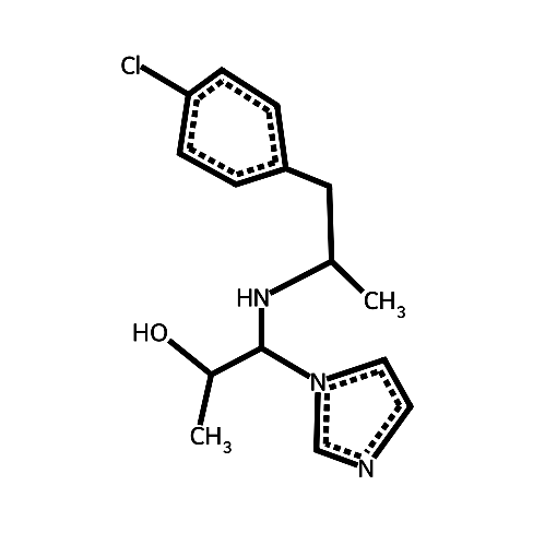 CC(Cc1ccc(Cl)cc1)NC(C(C)O)n1ccnc1